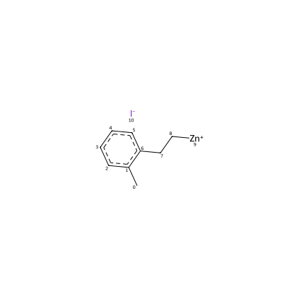 Cc1ccccc1C[CH2][Zn+].[I-]